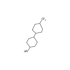 CCCC1CCC(C2CCC(C(F)(F)F)CC2)CC1